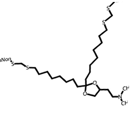 CCCCCCCCCSCSCCCCCCCCC1(CCCCCCCCSCSCCCCCCCCC)OCC(CCN(C)C)O1